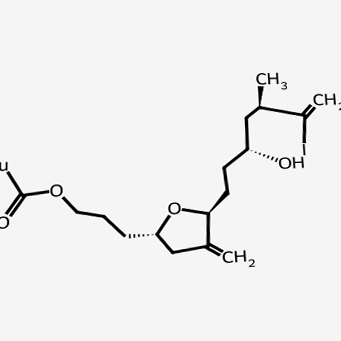 C=C(I)[C@H](C)C[C@H](O)CC[C@@H]1O[C@@H](CCCOC(=O)C(C)(C)C)CC1=C